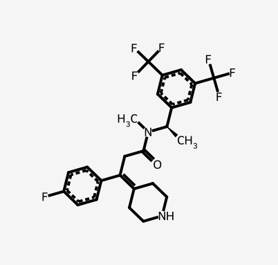 C[C@H](c1cc(C(F)(F)F)cc(C(F)(F)F)c1)N(C)C(=O)CC(=C1CCNCC1)c1ccc(F)cc1